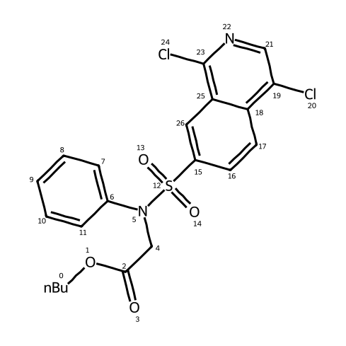 CCCCOC(=O)CN(c1ccccc1)S(=O)(=O)c1ccc2c(Cl)cnc(Cl)c2c1